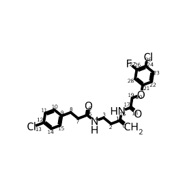 C=C(CCNC(=O)CCc1ccc(Cl)cc1)NC(=O)COc1ccc(Cl)c(F)c1